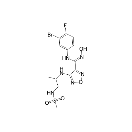 CC(CNS(C)(=O)=O)Nc1nonc1/C(=N/O)Nc1ccc(F)c(Br)c1